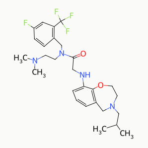 CC(C)CN1CCOc2c(cccc2NCC(=O)N(CCN(C)C)Cc2ccc(F)cc2C(F)(F)F)C1